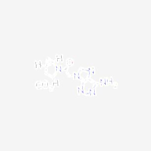 Nc1ncnc2c1ncn2CC(=O)N1[C@@H]2C[C@@H]2C[C@H]1C(=O)O